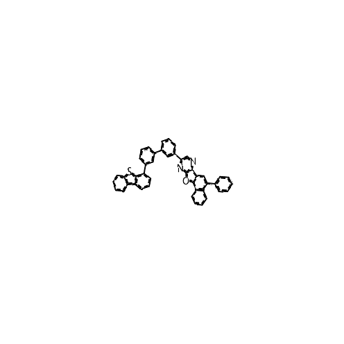 c1ccc(-c2cc3c4ncc(-c5cccc(-c6cccc(-c7cccc8c7sc7ccccc78)c6)c5)nc4oc3c3ccccc23)cc1